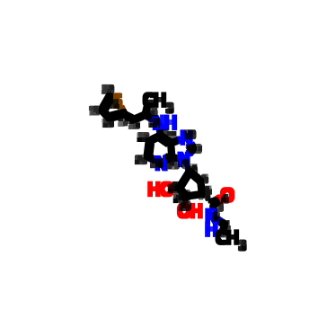 CCNC(=O)[C@H]1C[C@@H](n2cnc3c(NC(C)Cc4cccs4)ccnc32)[C@H](O)[C@@H]1O